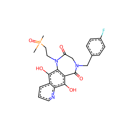 CP(C)(=O)CCN1C(=O)CN(Cc2ccc(F)cc2)C(=O)c2c1c(O)c1cccnc1c2O